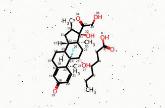 CCCCCCC(=O)O.C[C@@H]1C[C@H]2[C@@H]3CCC4=CC(=O)C=C[C@]4(C)[C@@]3(F)[C@@H](O)C[C@]2(C)[C@@]1(O)C(=O)CO